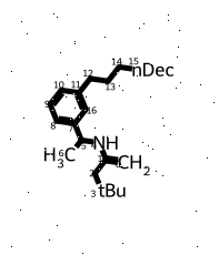 C=C(CC(C)(C)C)NC(C)c1cccc(CCCCCCCCCCCCC)c1